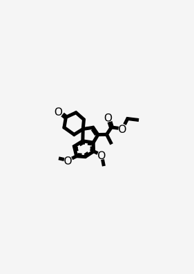 CCOC(=O)C(C)C1=CC2(CCC(=O)CC2)c2cc(OC)cc(OC)c21